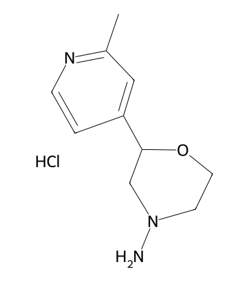 Cc1cc(C2CN(N)CCO2)ccn1.Cl